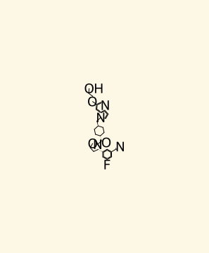 N#Cc1cc(F)cc([C@@H]2CCON2C(=O)[C@H]2CC[C@H](Cn3ccc4ncc(OCCO)cc43)CC2)c1